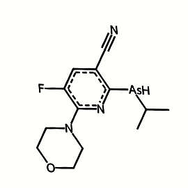 CC(C)[AsH]c1nc(N2CCOCC2)c(F)cc1C#N